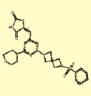 O=C1NC(=O)/C(=C\c2cc(N3CCOCC3)nc(N3CC4(C3)CN(S(=O)(=O)c3ccccc3)C4)n2)S1